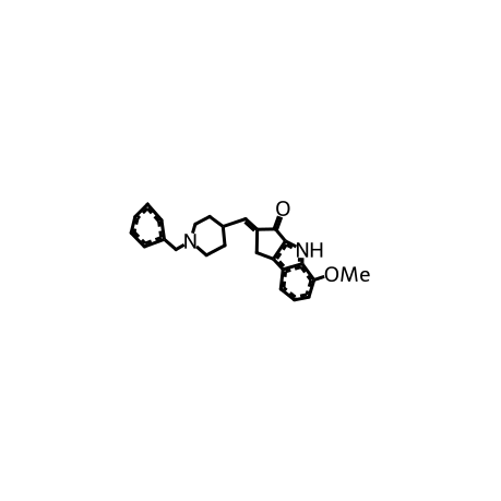 COc1cccc2c3c([nH]c12)C(=O)C(=CC1CCN(Cc2ccccc2)CC1)C3